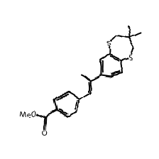 COC(=O)c1ccc(/C=C(\C)c2ccc3c(c2)SCC(C)(C)CS3)cc1